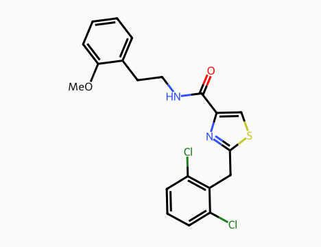 COc1ccccc1CCNC(=O)c1csc(Cc2c(Cl)cccc2Cl)n1